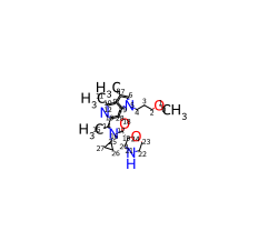 COCCCn1cc(C)c2c(C)nc([C@H](C)N(C(=O)[C@H]3CNCCO3)C3CC3)cc21